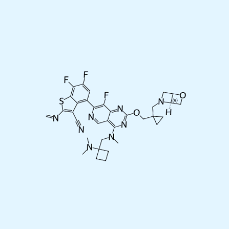 C=Nc1sc2c(F)c(F)cc(-c3ncc4c(N(C)CC5(N(C)C)CCC5)nc(OCC5(CN6CC7OC[C@H]76)CC5)nc4c3F)c2c1C#N